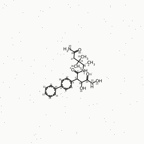 C[C@H](NC(=O)C(c1ccc(-c2ccccc2)cc1)C(O)C(=O)NO)C(C)(C)CC(N)=O